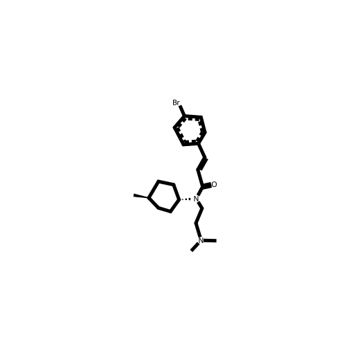 CN(C)CCN(C(=O)/C=C/c1ccc(Br)cc1)[C@H]1CC[C@H](C)CC1